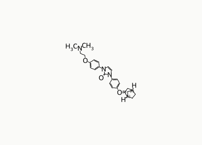 CN(C)CCOc1ccc(-n2ccn(-c3ccc(O[C@@H]4C[C@@H]5CC[C@H]4C5)cc3)c2=O)cc1